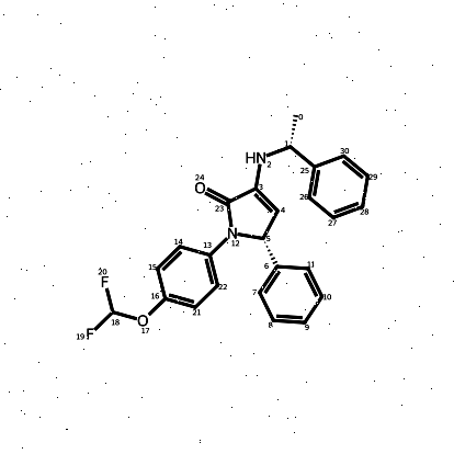 C[C@@H](NC1=C[C@H](c2ccccc2)N(c2ccc(OC(F)F)cc2)C1=O)c1ccccc1